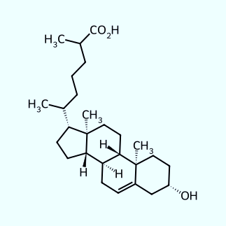 CC(CCCC(C)[C@H]1CC[C@H]2[C@@H]3CC=C4C[C@@H](O)CC[C@]4(C)[C@H]3CC[C@]12C)C(=O)O